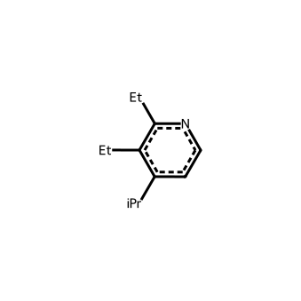 CCc1nccc(C(C)C)c1CC